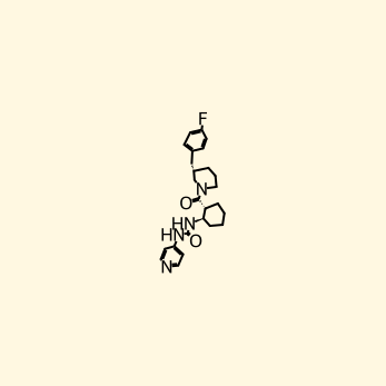 O=C(Nc1ccncc1)N[C@@H]1CCCC[C@H]1C(=O)N1CCC[C@@H](Cc2ccc(F)cc2)C1